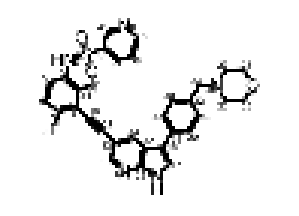 O=S(=O)(Nc1ccc(F)c(C#Cc2cnc3[nH]cc(-c4ccc(CN5CCOCC5)cc4)c3c2)c1F)c1cccnc1